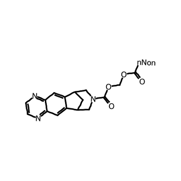 CCCCCCCCCC(=O)OCOC(=O)N1CC2CC(C1)c1cc3nccnc3cc12